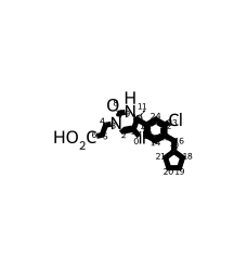 CC(C)C1=CN(CCC(=O)O)C(=O)N[C@@]1(C)c1ccc(CC2CCCC2)c(Cl)c1